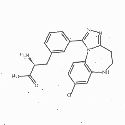 N[C@@H](Cc1cccc(-c2nnc3n2-c2ccc(Cl)cc2NCC3)c1)C(=O)O